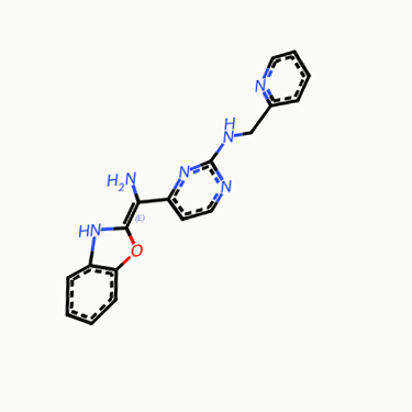 N/C(=C1\Nc2ccccc2O1)c1ccnc(NCc2ccccn2)n1